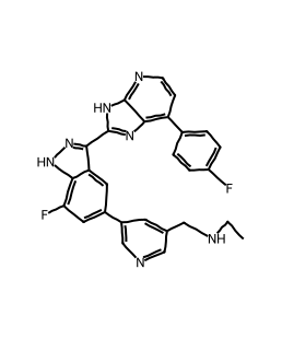 CCNCc1cncc(-c2cc(F)c3[nH]nc(-c4nc5c(-c6ccc(F)cc6)ccnc5[nH]4)c3c2)c1